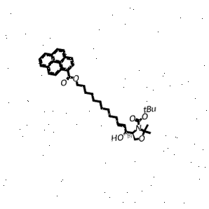 CC(C)(C)OC(=O)N1[C@H]([C@H](O)C=CCCCCCCCCCCOC(=O)c2ccc3ccc4cccc5ccc2c3c45)COC1(C)C